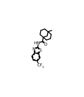 CC12CCCC(C(=O)Nc3nc4ccc(C(F)(F)F)cc4s3)(CCC1)C2